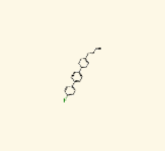 C=CCCC1=CCC(c2ccc(-c3ccc(F)cc3)cc2)CC1